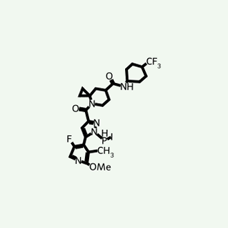 COc1ncc(F)c(-c2cc(C(=O)N3CCC(C(=O)NC4CCC(C(F)(F)F)CC4)CC34CC4)nn2PI)c1C